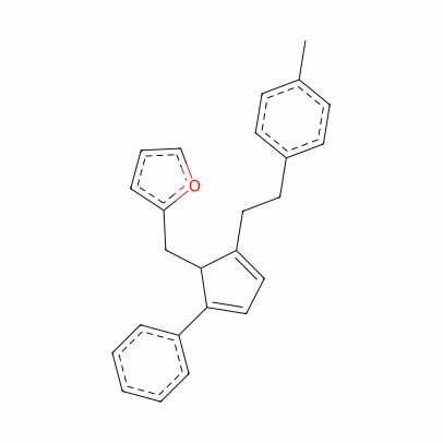 Cc1ccc(CCC2=CC=C(c3ccccc3)C2Cc2ccco2)cc1